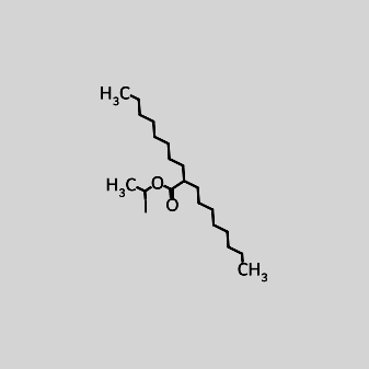 CCCCCCCCC(CCCCCCCC)C(=O)OC(C)I